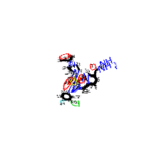 NNC(=O)c1ccc(CN(c2ccc(F)c(Cl)c2)S(=O)(=O)N2CCN(C3COC3)CC2)nc1